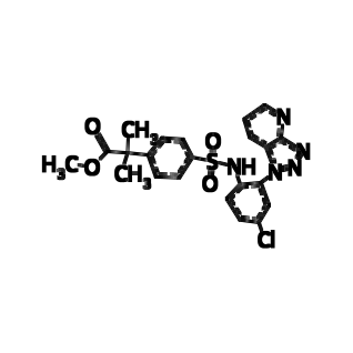 COC(=O)C(C)(C)c1ccc(S(=O)(=O)Nc2ccc(Cl)cc2-n2nnc3ncccc32)cc1